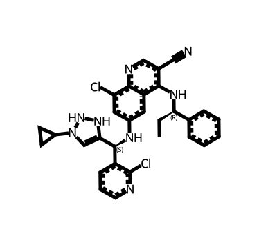 CC[C@@H](Nc1c(C#N)cnc2c(Cl)cc(N[C@H](C3=CN(C4CC4)NN3)c3cccnc3Cl)cc12)c1ccccc1